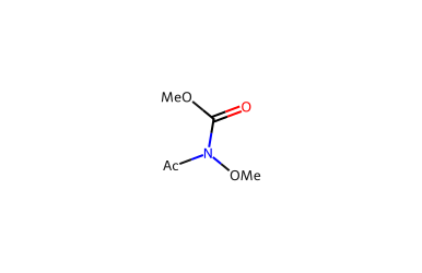 COC(=O)N(OC)C(C)=O